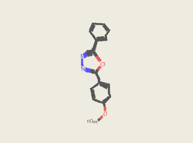 CCCCCCCCCCOc1ccc(-c2nnc(-c3ccccc3)o2)cc1